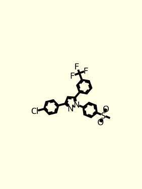 CS(=O)(=O)c1ccc(-n2nc(-c3ccc(Cl)cc3)cc2-c2cccc(C(F)(F)F)c2)cc1